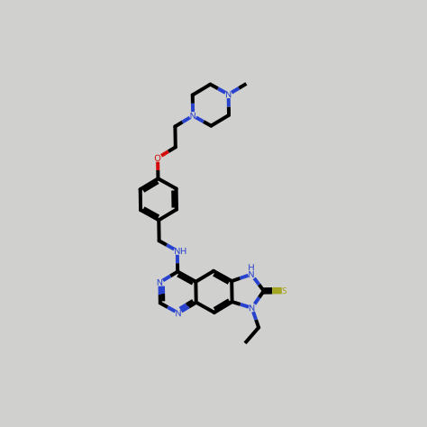 CCn1c(=S)[nH]c2cc3c(NCc4ccc(OCCN5CCN(C)CC5)cc4)ncnc3cc21